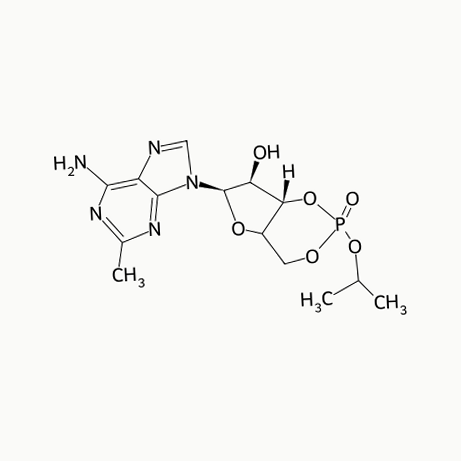 Cc1nc(N)c2ncn([C@@H]3OC4COP(=O)(OC(C)C)O[C@H]4[C@@H]3O)c2n1